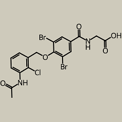 CC(=O)Nc1cccc(COc2c(Br)cc(C(=O)NCC(=O)O)cc2Br)c1Cl